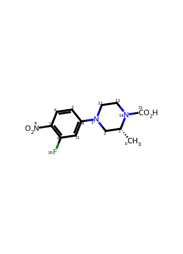 C[C@@H]1CN(c2ccc([N+](=O)[O-])c(F)c2)CCN1C(=O)O